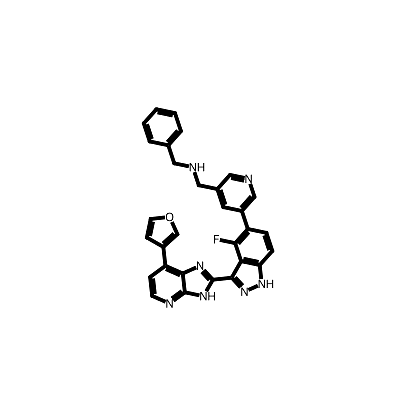 Fc1c(-c2cncc(CNCc3ccccc3)c2)ccc2[nH]nc(-c3nc4c(-c5ccoc5)ccnc4[nH]3)c12